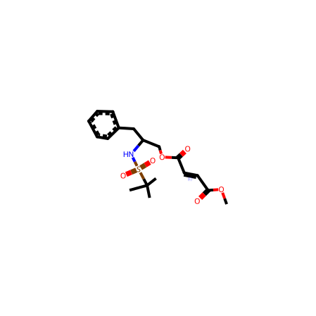 COC(=O)/C=C/C(=O)OCC(Cc1ccccc1)NS(=O)(=O)C(C)(C)C